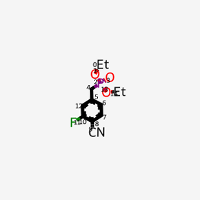 CCOP(=O)(Cc1ccc(C#N)c(F)c1)OCC